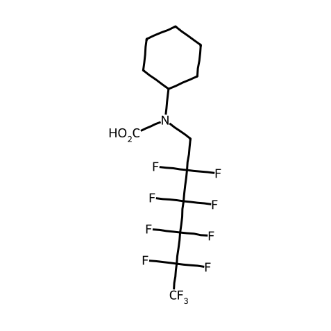 O=C(O)N(CC(F)(F)C(F)(F)C(F)(F)C(F)(F)C(F)(F)F)C1CCCCC1